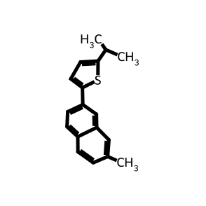 Cc1ccc2ccc(-c3ccc(C(C)C)s3)cc2c1